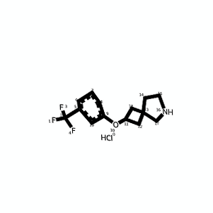 Cl.FC(F)(F)c1cccc(OC2CC3(CCNC3)C2)c1